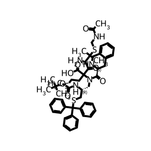 CSCCC(C(=O)O)(C(=O)[C@@H](N)C(C)(C)SCNC(C)=O)N(C[C@H](CSC(c1ccccc1)(c1ccccc1)c1ccccc1)NC(=O)OC(C)(C)C)C(=O)[C@@H]1Cc2ccccc2CN1